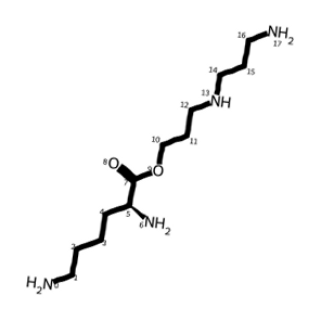 NCCCC[C@H](N)C(=O)OCCCNCCCN